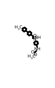 COC(=O)CNCc1ccc(N2C=C(c3ccc(-c4ccc(C)cc4)cc3)ON2)cc1